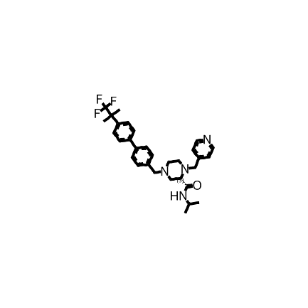 CC(C)NC(=O)[C@@H]1CN(Cc2ccc(-c3ccc(C(C)(C)C(F)(F)F)cc3)cc2)CCN1Cc1ccncc1